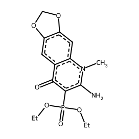 CCOP(=O)(OCC)c1c(N)n(C)c2cc3c(cc2c1=O)OCO3